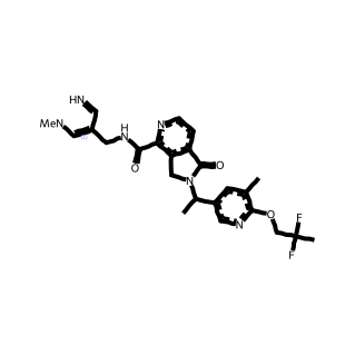 CN/C=C(\C=N)CNC(=O)c1nccc2c1CN(C(C)c1cnc(OCC(C)(F)F)c(C)c1)C2=O